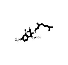 CCCCOc1c(OC/C=C(\C)CCC=C(C)C)c(=O)n(C)c2cc([N+](=O)[O-])ccc12